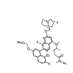 CCc1c(F)ccc2cc(OCOC)cc(-c3ncc4c(N(C)C(C)CCC(=O)N(C)C(C)=O)nc(OC[C@@]56CCCN5C[C@H](F)C6)nc4c3F)c12